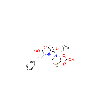 CCCC1(OC(=O)O)CSCCN1C(=O)[C@H](C)NC(CCc1ccccc1)C(=O)O